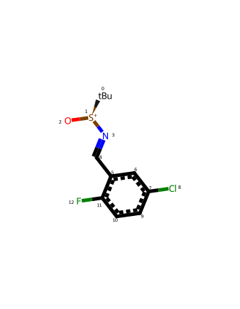 CC(C)(C)[S@+]([O-])N=Cc1cc(Cl)ccc1F